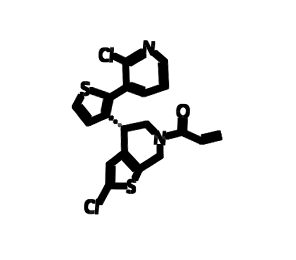 C=CC(=O)N1Cc2sc(Cl)cc2[C@H](c2ccsc2-c2cccnc2Cl)C1